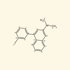 CN(C)c1cc(-c2cccc(I)c2)c2ccccc2c1